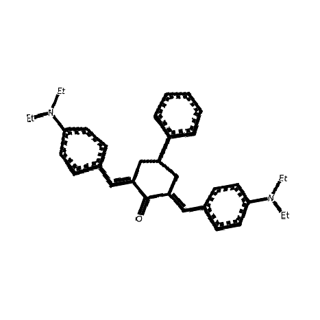 CCN(CC)c1ccc(C=C2CC(c3ccccc3)CC(=Cc3ccc(N(CC)CC)cc3)C2=O)cc1